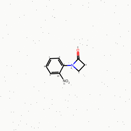 O=C1CCN1c1ccccc1[N+](=O)[O-]